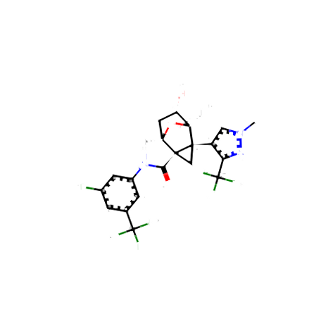 Cn1cc([C@@]23C[C@]2(C(=O)Nc2cc(F)cc(C(F)(F)F)c2)[C@H]2C[C@H](O)[C@@H]3O2)c(C(F)(F)F)n1